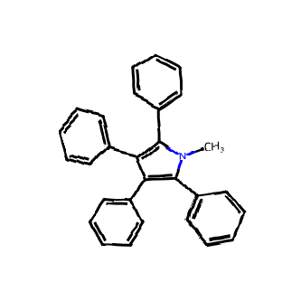 Cn1c(-c2ccccc2)c(-c2ccccc2)c(-c2ccccc2)c1-c1ccccc1